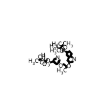 CC(COc1cncc(COC(=O)NC(C)(C)C)c1)Oc1cnc2ccc(B3OC(C)(C)C(C)(C)O3)cc2c1